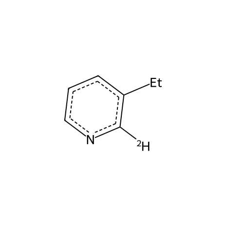 [2H]c1ncccc1CC